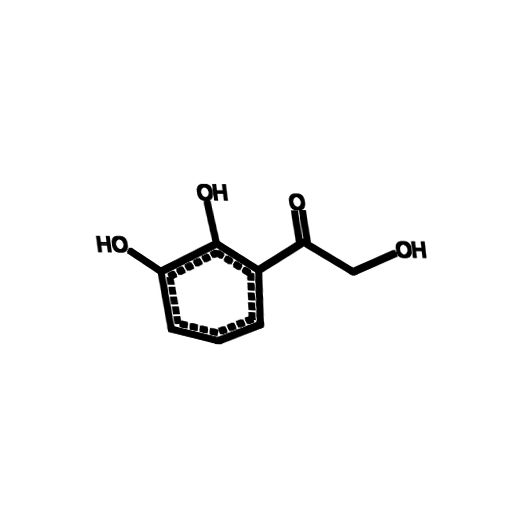 O=C(CO)c1cccc(O)c1O